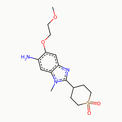 COCCOc1cc2nc(C3CCS(=O)(=O)CC3)n(C)c2cc1N